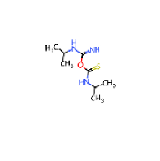 CC(C)NC(=N)OC(=S)NC(C)C